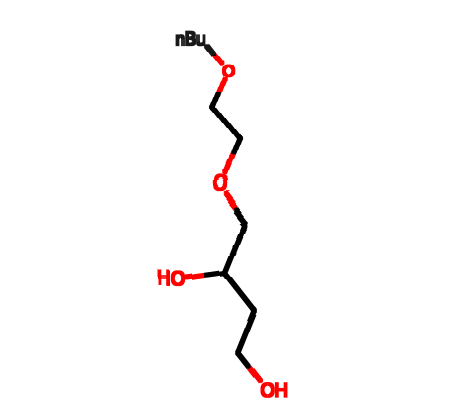 CCCCOCCOCC(O)CCO